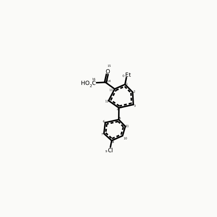 CCc1ccc(-c2ccc(Cl)cc2)cc1C(=O)C(=O)O